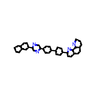 c1ccc2cc(-c3cnc(-c4ccc(-c5ccc(-c6ccc7ccc8cccnc8c7n6)cc5)cc4)cn3)ccc2c1